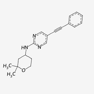 CC1(C)CC(Nc2ncc(C#Cc3ccccc3)cn2)CCO1